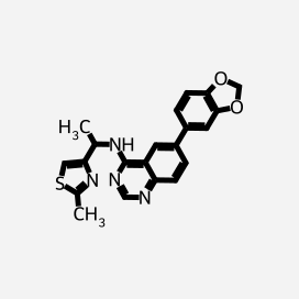 Cc1nc(C(C)Nc2ncnc3ccc(-c4ccc5c(c4)OCO5)cc23)cs1